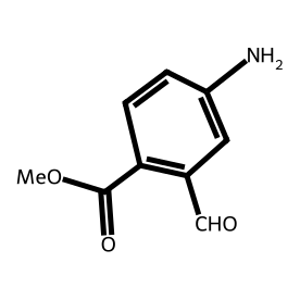 COC(=O)c1ccc(N)cc1C=O